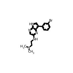 CN(C)CCNc1cnc2[nH]cc(-c3cccc(Br)c3)c2n1